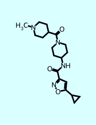 CN1CCC(C(=O)N2CCC(NC(=O)c3cc(C4CC4)on3)CC2)CC1